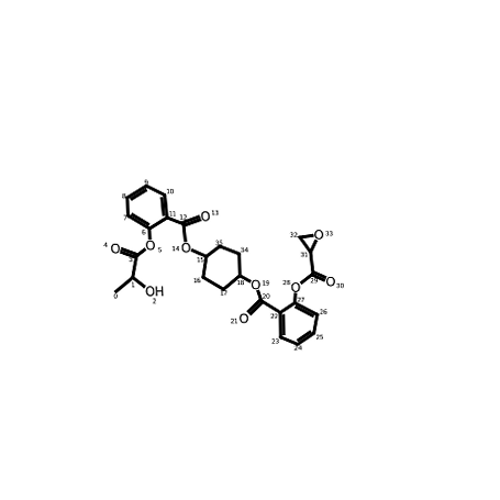 CC(O)C(=O)Oc1ccccc1C(=O)OC1CCC(OC(=O)c2ccccc2OC(=O)C2CO2)CC1